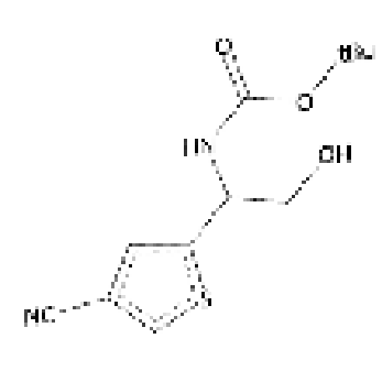 CC(C)(C)OC(=O)NC(CO)c1cc(C#N)cs1